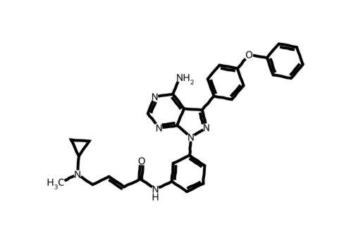 CN(CC=CC(=O)Nc1cccc(-n2nc(-c3ccc(Oc4ccccc4)cc3)c3c(N)ncnc32)c1)C1CC1